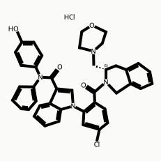 Cl.O=C(c1cn(-c2cc(Cl)ccc2C(=O)N2Cc3ccccc3C[C@H]2CN2CCOCC2)c2ccccc12)N(c1ccccc1)c1ccc(O)cc1